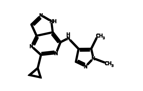 Cc1c(Nc2nc(C3CC3)nc3cn[nH]c23)cnn1C